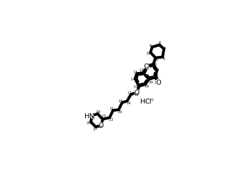 Cl.O=c1cc(C2CCCCC2)oc2ccc(OCCCCCCC3CNCCO3)cc12